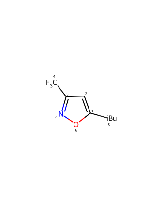 CCC(C)c1cc(C(F)(F)F)no1